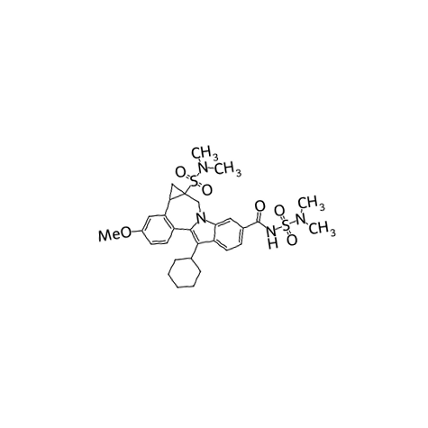 COc1ccc2c(c1)C1CC1(S(=O)(=O)N(C)C)Cn1c-2c(C2CCCCC2)c2ccc(C(=O)NS(=O)(=O)N(C)C)cc21